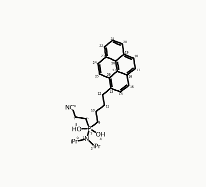 CC(C)N(C(C)C)P(O)(O)(CCC#N)CCCCc1ccc2ccc3cccc4ccc1c2c34